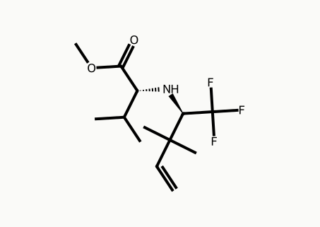 C=CC(C)(C)[C@@H](N[C@@H](C(=O)OC)C(C)C)C(F)(F)F